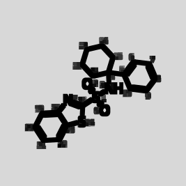 O=S(=O)(NC1(c2ccccc2)CCCCC1)c1nc2ccccc2s1